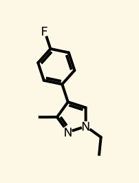 CCn1cc(-c2ccc(F)cc2)c(C)n1